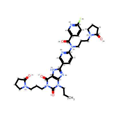 CCCn1c(=O)n(CCCN2CCCC2=O)c(=O)c2[nH]c(-c3ccc(N(CCCN4CCCC4=O)C(=O)c4ccc(F)nc4)nc3)nc21